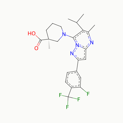 Cc1nc2cc(-c3ccc(C(F)(F)F)c(F)c3)nn2c(N2CCC[C@](C)(C(=O)O)C2)c1C(C)C